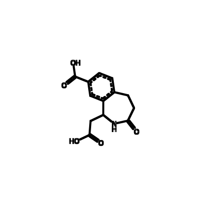 O=C(O)CC1NC(=O)CCc2ccc(C(=O)O)cc21